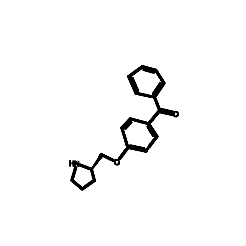 O=C(c1ccccc1)c1ccc(OC[C@H]2CCCN2)cc1